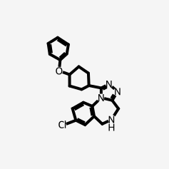 Clc1ccc2c(c1)CNCc1nnc(C3CCC(Oc4ccccc4)CC3)n1-2